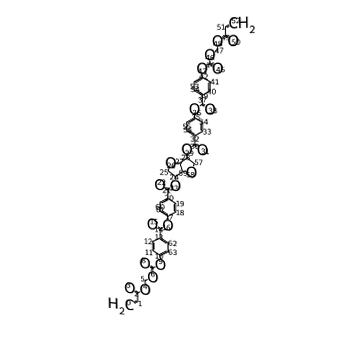 C=CC(=O)OCOC(=O)Oc1ccc(C(=O)Oc2ccc(C(=O)OC3COC4C(OC(=O)c5ccc(OC(=O)c6ccc(OC(=O)OCOC(=O)C=C)cc6)cc5)COC34)cc2)cc1